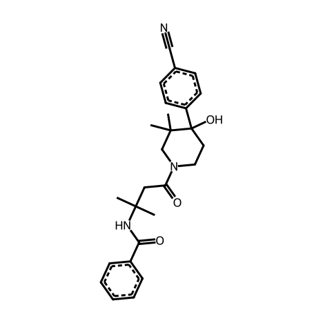 CC(C)(CC(=O)N1CCC(O)(c2ccc(C#N)cc2)C(C)(C)C1)NC(=O)c1ccccc1